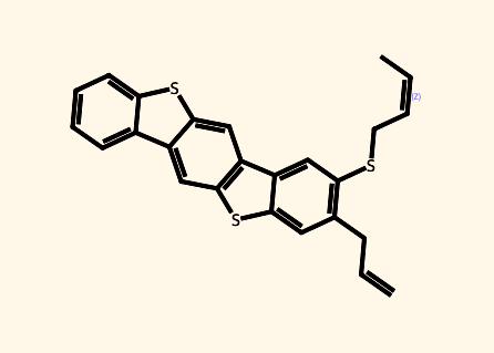 C=CCc1cc2sc3cc4c(cc3c2cc1SC/C=C\C)sc1ccccc14